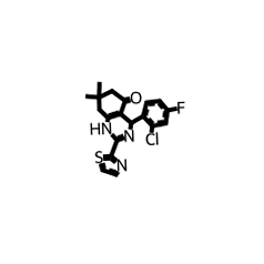 CC1(C)CC(=O)C2=C(C1)NC(c1nccs1)=NC2c1ccc(F)cc1Cl